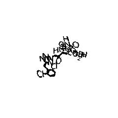 CC(C)(C)OC(=O)NS(=O)(=O)NC(CC(=O)O)C(=O)Cn1nnc(Cc2c(Cl)cccc2Cl)n1